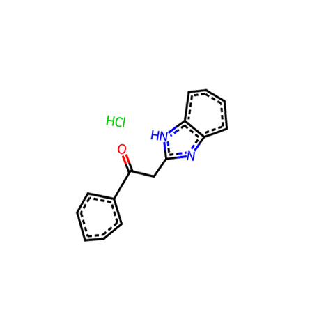 Cl.O=C(Cc1nc2ccccc2[nH]1)c1ccccc1